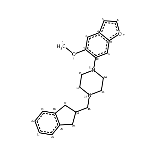 COc1cc2ccoc2cc1N1CCN(CC2Cc3ccccc3C2)CC1